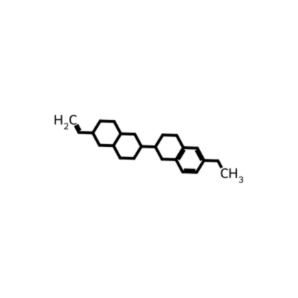 C=CC1CCC2CC(C3CCc4cc(CC)ccc4C3)CCC2C1